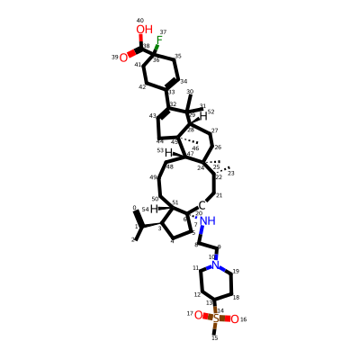 C=C(C)[C@@H]1CC[C@]2(NCCN3CCC(S(C)(=O)=O)CC3)CC[C@@H](C)[C@]3(C)CC[C@H]4C(C)(C)C(C5=CCC(F)(C(=O)O)CC5)=CC[C@]4(C)[C@H]3CCC[C@@H]12